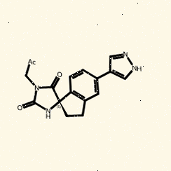 CC(=O)CN1C(=O)N[C@]2(CCc3cc(-c4cn[nH]c4)ccc32)C1=O